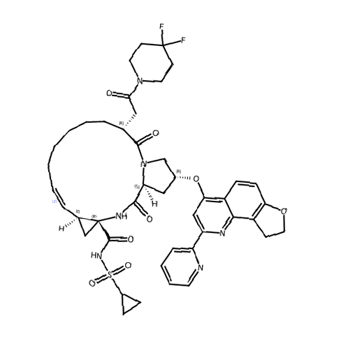 O=C1N[C@]2(C(=O)NS(=O)(=O)C3CC3)C[C@H]2/C=C\CCCCC[C@H](CC(=O)N2CCC(F)(F)CC2)C(=O)N2C[C@H](Oc3cc(-c4ccccn4)nc4c5c(ccc34)OCC5)C[C@@H]12